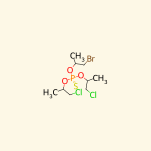 CC(CCl)OP(=S)(OC(C)CCl)OC(C)CBr